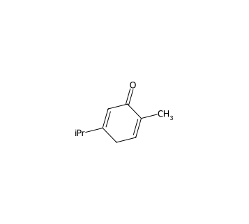 CC1=CCC(C(C)C)=CC1=O